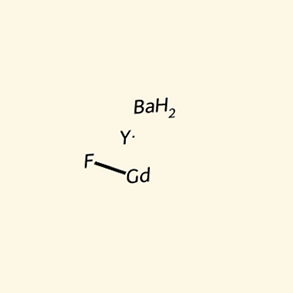 [BaH2].[F][Gd].[Y]